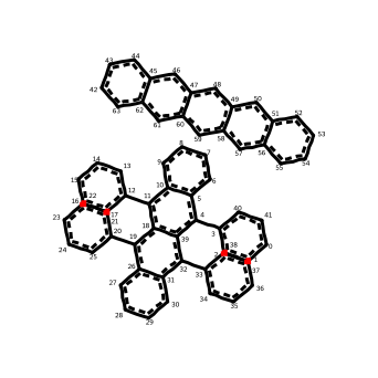 c1ccc(-c2c3ccccc3c(-c3ccccc3)c3c(-c4ccccc4)c4ccccc4c(-c4ccccc4)c23)cc1.c1ccc2cc3cc4cc5ccccc5cc4cc3cc2c1